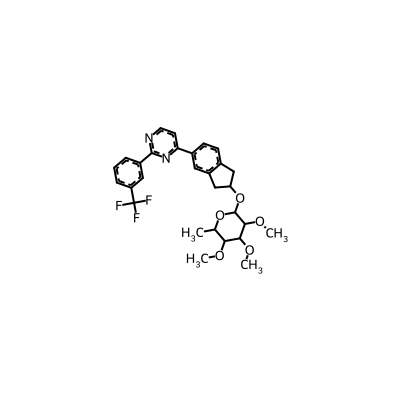 COC1C(C)OC(OC2Cc3ccc(-c4ccnc(-c5cccc(C(F)(F)F)c5)n4)cc3C2)C(OC)C1OC